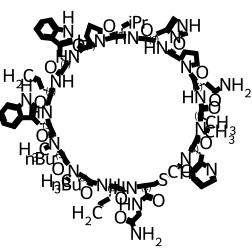 C=CC[C@@H]1NC(=O)[C@H](Cc2c[nH]c3ccccc23)NC(=O)[C@@H]2CCCN2C(=O)[C@H](CC(C)C)NC(=O)[C@H](Cc2c[nH]cn2)NC(=O)C2CCCN2C(=O)[C@H](CC(N)=O)NC(=O)[C@H](C)N(C)C(=O)[C@H](Cc2ccccn2)NC(=O)CSC[C@@H](C(=O)NCC(N)=O)NC(=O)[C@H](CC=C)NC(=O)[C@H](CCCC)N(C)C(=O)[C@H](CCCC)N(C)C(=O)[C@H](Cc2c[nH]c3ccccc23)NC1=O